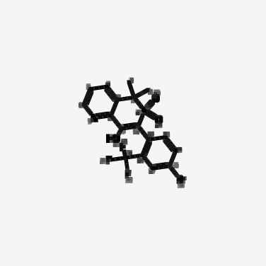 CC1(C)c2cccnc2C(O)=C(c2ccc(Br)cc2C(F)(F)F)S1(=O)=O